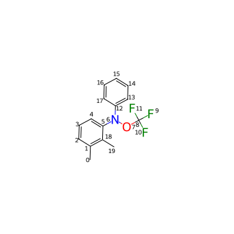 Cc1cccc(N(OC(F)(F)F)c2ccccc2)c1C